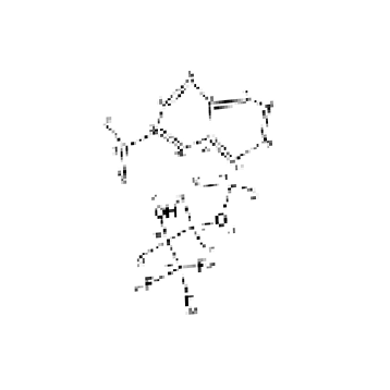 C=C(C)c1ccc2cccc(C(C)(C)OC(C)(C)C(C)(O)C(F)(F)F)c2c1